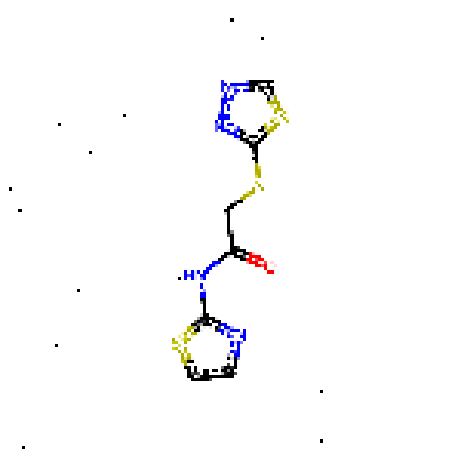 O=C(CSc1nn[c]s1)Nc1nccs1